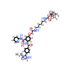 CN(C)C(=N)c1ccc(C(=O)Nc2ccc(OCC(=O)NCCCCCCNC(=O)OC(C)(C)C)cc2C(O)Nc2ccccn2)cc1